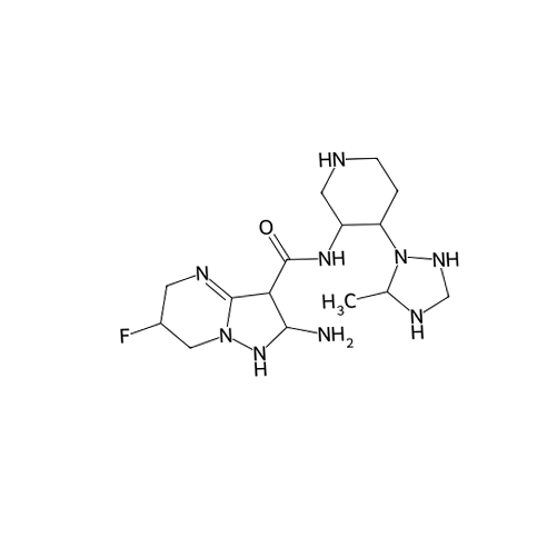 CC1NCNN1C1CCNCC1NC(=O)C1C2=NCC(F)CN2NC1N